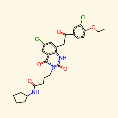 CCOc1ccc(C(=O)Cc2cc(Cl)cc3c(=O)n(CCCC(=O)NC4CCCC4)c(=O)[nH]c23)cc1Cl